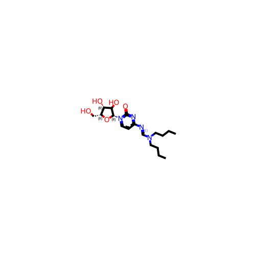 CCCCN(/C=N/c1ccn([C@@H]2O[C@H](CO)[C@H](O)C2O)c(=O)n1)CCCC